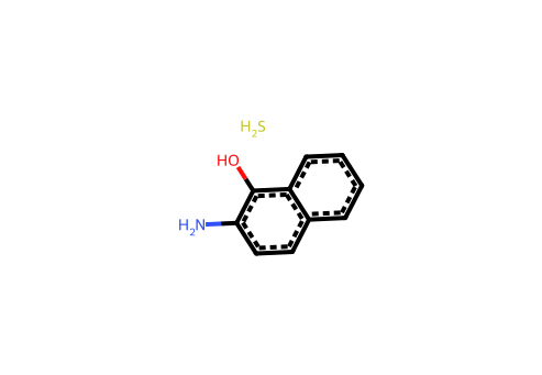 Nc1ccc2ccccc2c1O.S